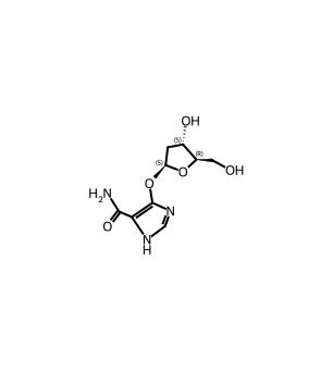 NC(=O)c1[nH]cnc1O[C@H]1C[C@H](O)[C@@H](CO)O1